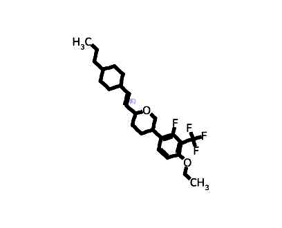 CCCC1CCC(/C=C/C2CCC(c3ccc(OCC)c(C(F)(F)F)c3F)CO2)CC1